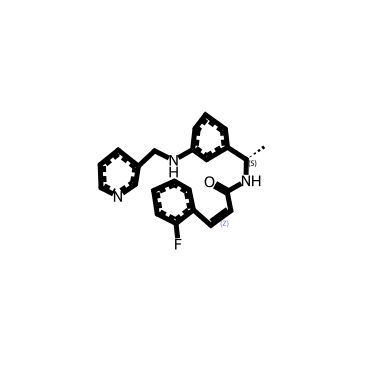 C[C@H](NC(=O)/C=C\c1ccccc1F)c1cccc(NCc2cccnc2)c1